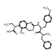 CCN(C(=O)O)c1ccc2c(c1C)COC(N[C@@H](Cc1ccc(OC)cc1)C(=O)N(C)Cc1ccccc1)=N2